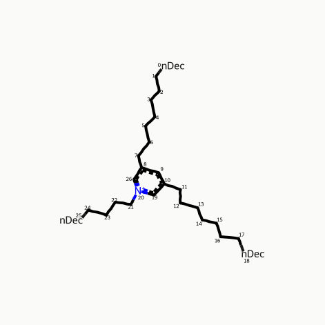 CCCCCCCCCCCCCCCCCc1cc(CCCCCCCCCCCCCCCCC)c[n+](CCCCCCCCCCCCCC)c1